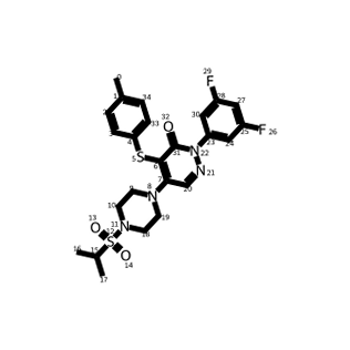 Cc1ccc(Sc2c(N3CCN(S(=O)(=O)C(C)C)CC3)cnn(-c3cc(F)cc(F)c3)c2=O)cc1